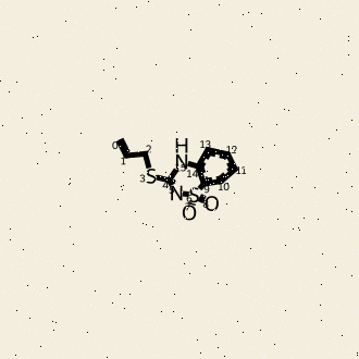 C=CCSC1=NS(=O)(=O)c2ccccc2N1